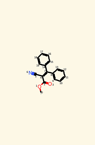 [CH2]OC(=O)C(C#N)=C(c1ccccc1)c1ccccc1